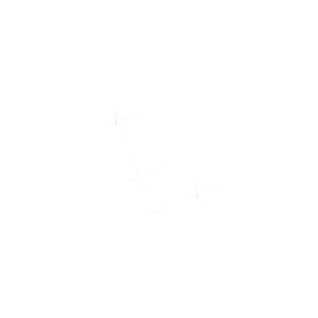 F[B-](F)(F)F.F[B-](F)(F)F.F[B-](F)(F)F.F[C](F)(F)[K]